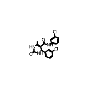 CC1=C(C(=O)Nc2cccc(Cl)c2)C(c2cccc(Cl)c2)NC(=O)N1